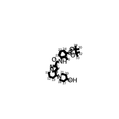 Cc1c(NC(=O)c2cc3n(n2)CCC[C@@H]3N2CCC(O)CC2)cccc1B1OC(C)(C)C(C)(C)O1